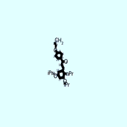 C=CCOc1ccc(C(=O)C=Cc2cc(OC(C)C)cc(OC(C)C)c2CCC)cc1